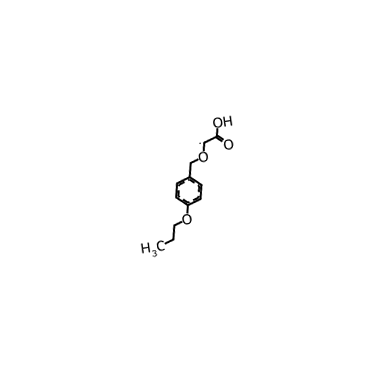 CCCOc1ccc(CO[CH]C(=O)O)cc1